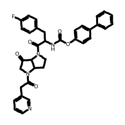 O=C(NC(Cc1ccc(F)cc1)C(=O)N1CCC2C1C(=O)CN2C(=O)Cc1cccnc1)Oc1ccc(-c2ccccc2)cc1